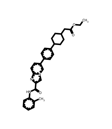 CCOC(=O)CC1CCC(c2ccc(-c3ccc4nc(C(=O)Nc5ccccc5C)cn4c3)cc2)CC1